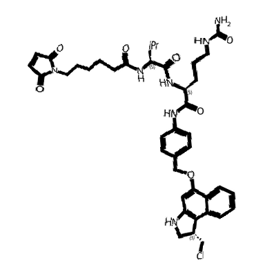 CC(C)[C@H](NC(=O)CCCCCN1C(=O)C=CC1=O)C(=O)N[C@@H](CCCNC(N)=O)C(=O)Nc1ccc(COc2cc3c(c4ccccc24)[C@H](CCl)CN3)cc1